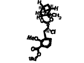 COc1c(C[C@@H](Cl)B2O[C@@H]3C[C@@H]4C[C@@H](C4(C)C)[C@]3(C)O2)cccc1C(=O)OC(C)(C)C